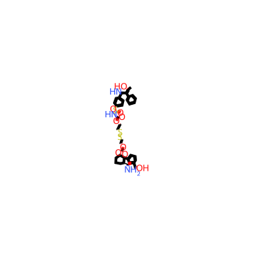 C/C(O)=C(/C(=N)c1ccc(S(=O)(=O)NC(=O)OCCSSCCOC(=O)O[C@]2(c3cccc(CO)c3)CCCC[C@@H]2CN)cc1)c1ccccc1